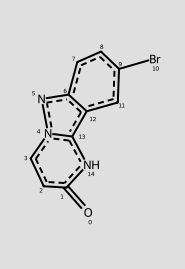 O=c1ccn2nc3ccc(Br)cc3c2[nH]1